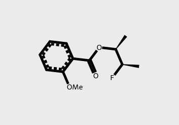 COc1ccccc1C(=O)O[C@@H](C)[C@@H](C)F